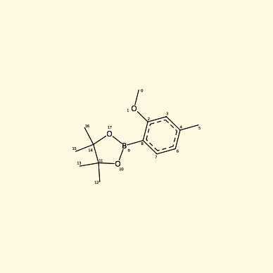 COc1cc(C)ccc1B1OC(C)(C)C(C)(C)O1